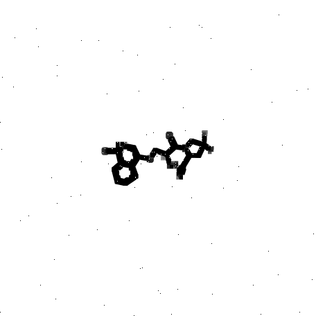 N#CC1CC(F)(F)CN1C(=O)[C@@H](N)COc1c[nH]c(=O)c2ccccc12